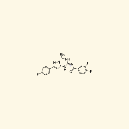 CC(C)(C)CN/C(=N/C(=O)c1ccc(F)c(F)c1)NC1C=C(c2ccc(F)cc2)N=N1